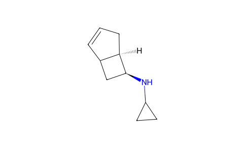 C1=CC2C[C@H](NC3CC3)[C@@H]2C1